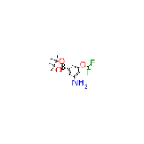 CC1(C)OB(c2cc(N)cc(OC(F)F)c2)OC1(C)C